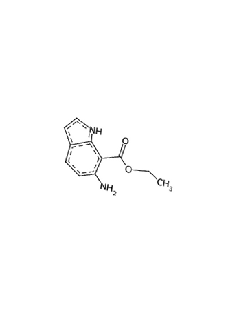 CCOC(=O)c1c(N)ccc2cc[nH]c12